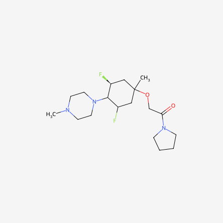 CN1CCN(C2C(F)CC(C)(OCC(=O)N3CCCC3)C[C@@H]2F)CC1